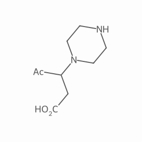 CC(=O)C(CC(=O)O)N1CCNCC1